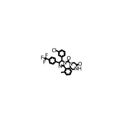 Cc1ccccc1C1=NC(c2ccc(C(F)(F)F)cc2)C(c2cccc(Cl)c2)N1C(=O)N1CCNC(=O)C1